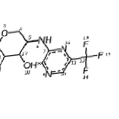 OC1COCC(Nc2cncc(C(F)(F)F)n2)C1O